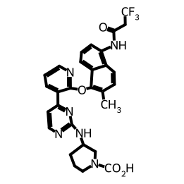 Cc1ccc2c(NC(=O)CC(F)(F)F)cccc2c1Oc1ncccc1-c1ccnc(NC2CCCN(C(=O)O)C2)n1